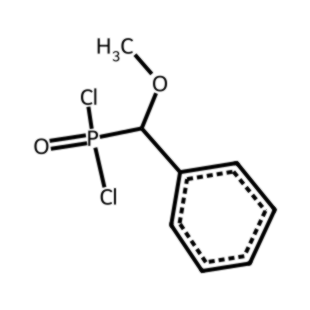 COC(c1ccccc1)P(=O)(Cl)Cl